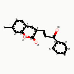 Cc1ccc2cc(/C=C/C(=O)c3ccccc3)c(=O)oc2c1